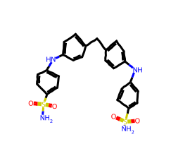 NS(=O)(=O)c1ccc(Nc2ccc(Cc3ccc(Nc4ccc(S(N)(=O)=O)cc4)cc3)cc2)cc1